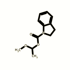 COC(C)OC(=O)N1CCc2ccccc21